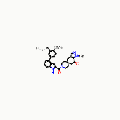 COc1ccc(-c2cccc3[nH]c(C(=O)N4CCC5(CC4)CC(=O)c4c(cnn4C(C)C)C5)cc23)cc1CC(=O)O